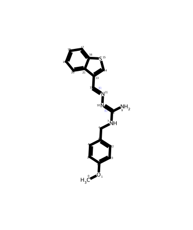 COc1ccc(CN/C(N)=N/N=C/c2csc3ccccc23)cc1